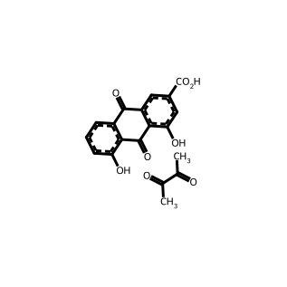 CC(=O)C(C)=O.O=C(O)c1cc(O)c2c(c1)C(=O)c1cccc(O)c1C2=O